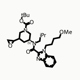 COCCCCn1c(C(=O)N(CC(C)C)[C@H]2CC(C3CO3)CN(C(=O)OC(C)(C)C)C2)nc2ccccc21